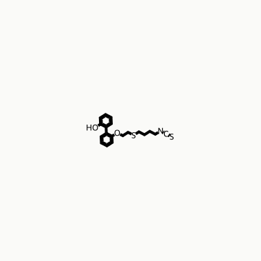 Oc1ccccc1-c1ccccc1OCCSCCCCN=C=S